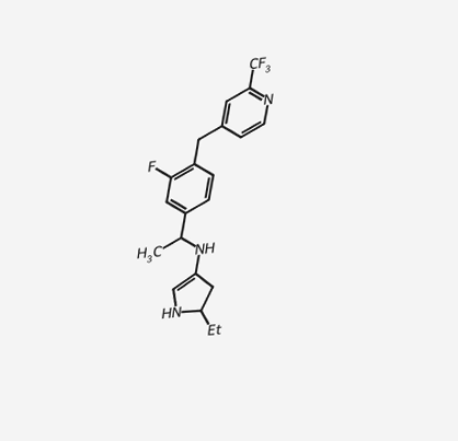 CCC1CC(NC(C)c2ccc(Cc3ccnc(C(F)(F)F)c3)c(F)c2)=CN1